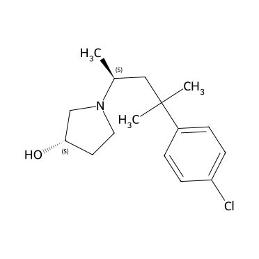 C[C@@H](CC(C)(C)c1ccc(Cl)cc1)N1CC[C@H](O)C1